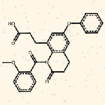 COc1ccccc1C(=O)N1C(=O)CCc2cc(Oc3ccccc3)cc(CCC(=O)O)c21